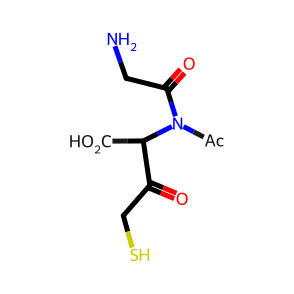 CC(=O)N(C(=O)CN)C(C(=O)O)C(=O)CS